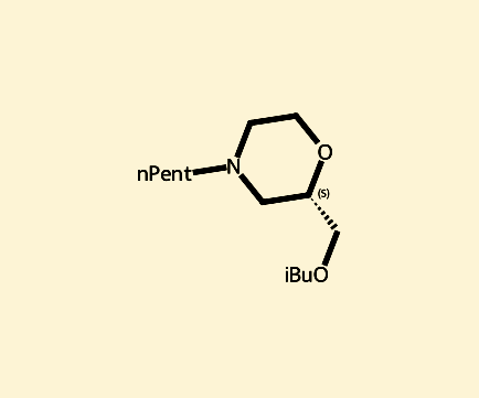 CCCCCN1CCO[C@H](COCC(C)C)C1